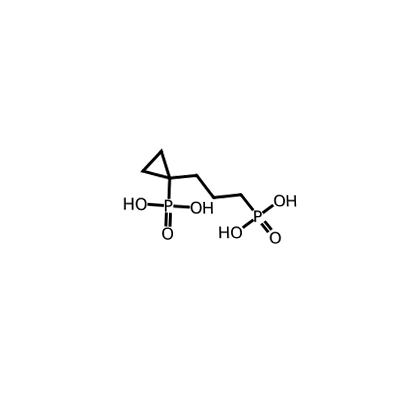 O=P(O)(O)CCCC1(P(=O)(O)O)CC1